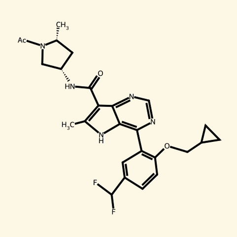 CC(=O)N1C[C@@H](NC(=O)c2c(C)[nH]c3c(-c4cc(C(F)F)ccc4OCC4CC4)ncnc23)C[C@H]1C